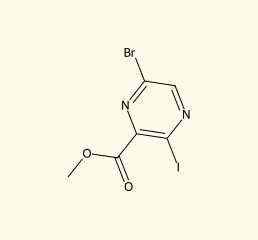 COC(=O)c1nc(Br)cnc1I